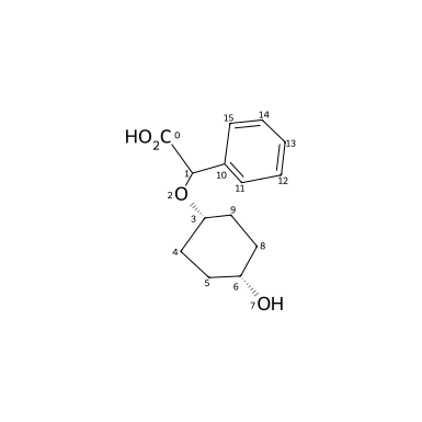 O=C(O)C(O[C@H]1CC[C@@H](O)CC1)c1ccccc1